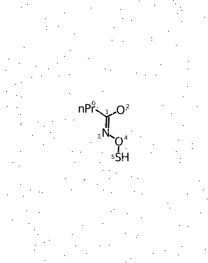 CCCC([O])=NOS